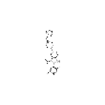 Cc1cc(-c2[nH]c3ccc(C4CCN(Cc5ncco5)CC4)cc3c2C(C)C)c(C)cn1